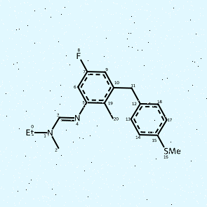 CCN(C)C=Nc1cc(F)cc(Cc2ccc(SC)cc2)c1C